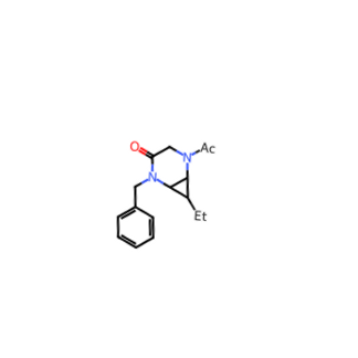 CCC1C2C1N(Cc1ccccc1)C(=O)CN2C(C)=O